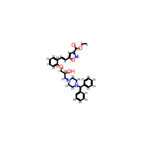 CCOC(=O)c1cc(/C=C/c2ccccc2OCC(O)CN2CCN(C(c3ccccc3)c3ccccc3)CC2)on1